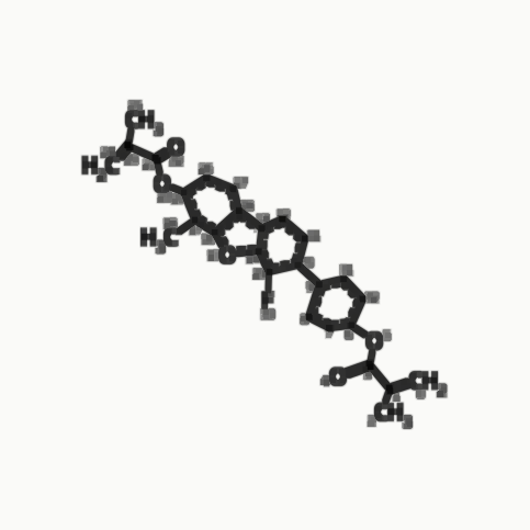 C=C(C)C(=O)Oc1ccc(-c2ccc3c(oc4c(C)c(OC(=O)C(=C)C)ccc43)c2F)cc1